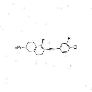 CCCC1CCc2c(ccc(C#Cc3ccc(Cl)c(F)c3)c2F)C1